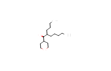 CCCCCC(CCCC)C(=O)C1CCOCC1